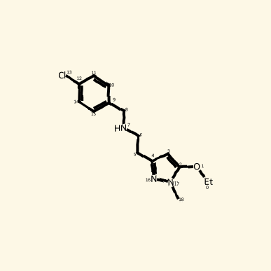 CCOc1cc(CCNCc2ccc(Cl)cc2)nn1C